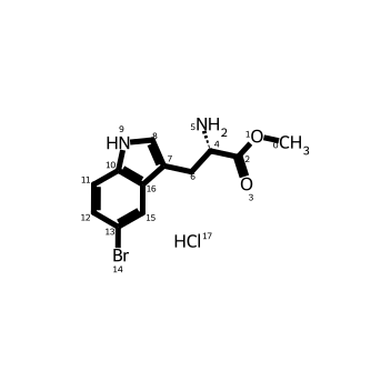 COC(=O)[C@@H](N)Cc1c[nH]c2ccc(Br)cc12.Cl